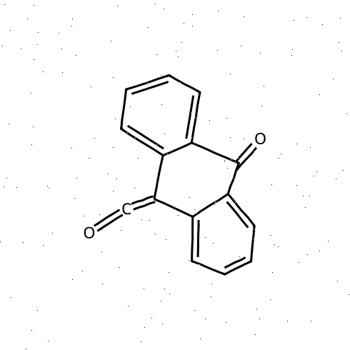 O=C=C1c2ccccc2C(=O)c2ccccc21